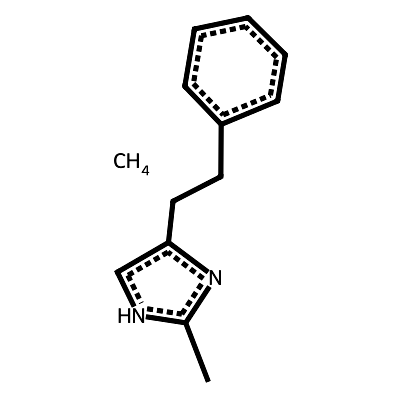 C.Cc1nc(CCc2ccccc2)c[nH]1